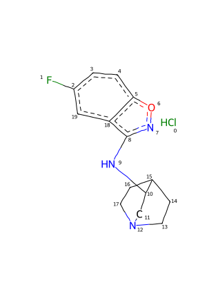 Cl.Fc1ccc2onc(NC3CN4CCC3CC4)c2c1